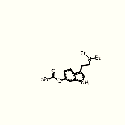 CCCC(=O)Oc1ccc2c(CCN(CC)CC)c[nH]c2c1